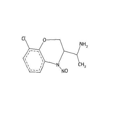 CC(N)C1COc2c(Cl)cccc2N1N=O